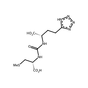 CSC[C@H](NC(=O)N[C@@H](CCc1nnn[nH]1)C(=O)O)C(=O)O